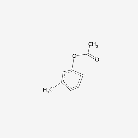 CC(=O)Oc1[c]ccc(C)c1